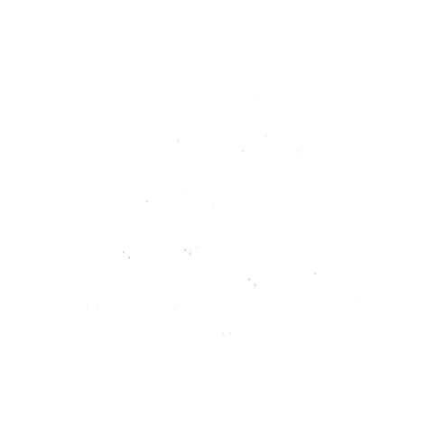 Cc1nc(Cc2ccc(-c3ccccc3)cc2Cl)nc(C(=O)NCC=O)c1C